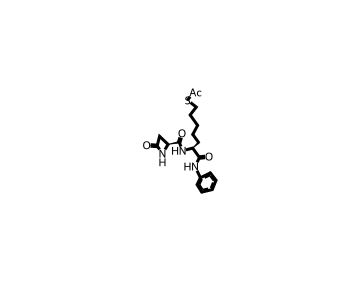 CC(=O)SCCCCC[C@H](NC(=O)[C@@H]1CC(=O)N1)C(=O)Nc1ccccc1